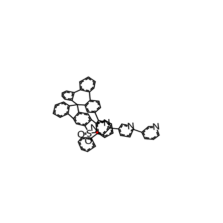 O=S1(=O)c2ccccc2-c2cc3c(cc21)-c1ccccc1C31c2ccccc2-c2ccccc2-c2ccc(-c3nc(-c4ccccc4)cc(-c4ccc(-c5cccnc5)nc4)n3)cc21